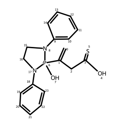 C=C(CC(O)=S)[P]1(O)N(c2ccccc2)CCN1c1ccccc1